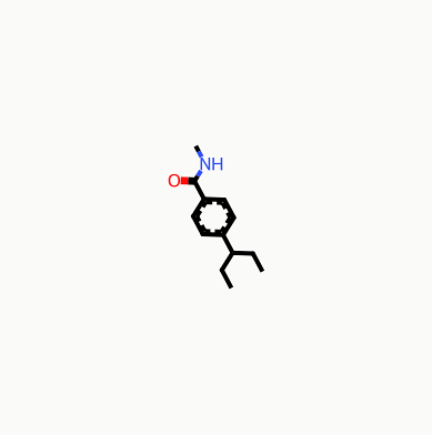 CCC(CC)c1ccc(C(=O)NC)cc1